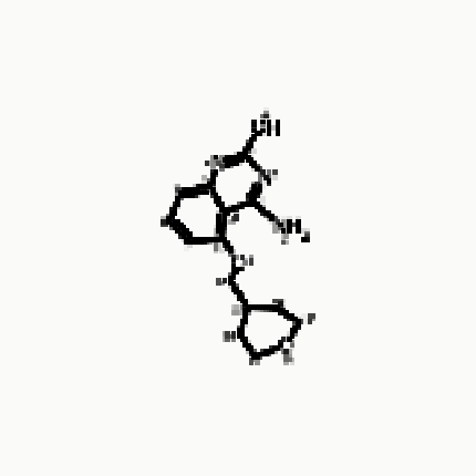 Nc1nc(O)nc2cccc(OCC3CCOCC3)c12